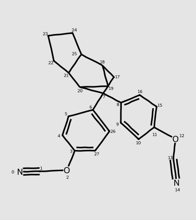 N#COc1ccc(C2(c3ccc(OC#N)cc3)CC3CC2C2CCCC32)cc1